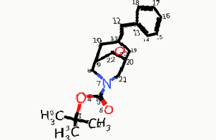 CC(C)(C)OC(=O)N1CC2CC(Cc3ccccc3)CC(C1)C2=O